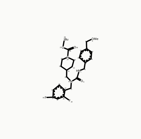 COCc1ccc(CNC(=O)N(Cc2ccc(F)cc2F)CC2CCN(C(=O)OC(C)(C)C)CC2)cc1